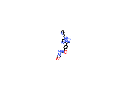 O=C(NCCN1CCOCC1)c1ccc(-c2cnn3c(NCCc4ccccn4)ccnc23)cc1